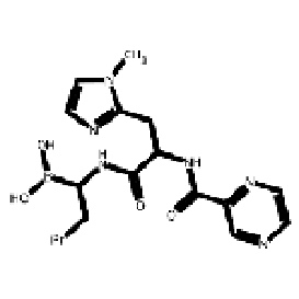 CC(C)CC(NC(=O)C(Cc1nccn1C)NC(=O)c1cnccn1)B(O)O